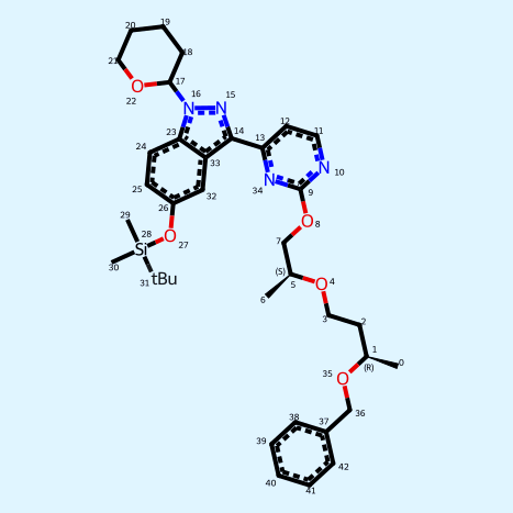 C[C@H](CCO[C@@H](C)COc1nccc(-c2nn(C3CCCCO3)c3ccc(O[Si](C)(C)C(C)(C)C)cc23)n1)OCc1ccccc1